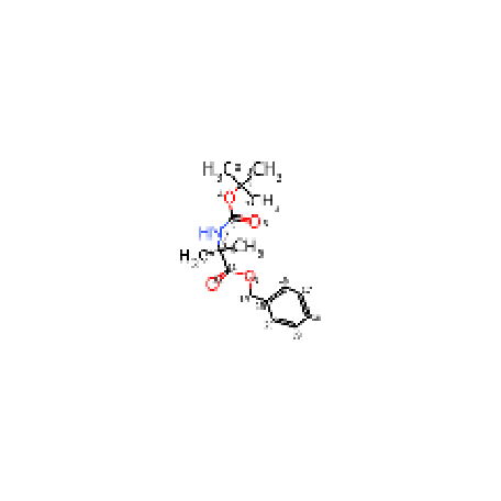 CC(C)(C)OC(=O)NC(C)(C)C(=O)OCc1ccccc1